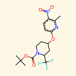 Cc1nc(OC2CCN(C(=O)OC(C)(C)C)C(C(F)(F)F)C2)ccc1[N+](=O)[O-]